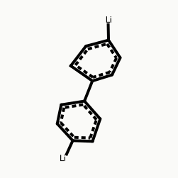 [Li][c]1ccc(-c2cc[c]([Li])cc2)cc1